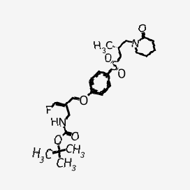 C[C@H](CN1CCCCC1=O)CS(=O)(=O)c1ccc(OC/C(=C/F)CNC(=O)OC(C)(C)C)cc1